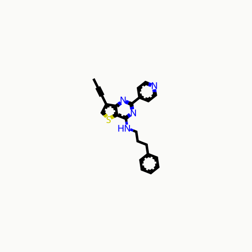 CC#Cc1csc2c(NCCCc3ccccc3)nc(-c3ccncc3)nc12